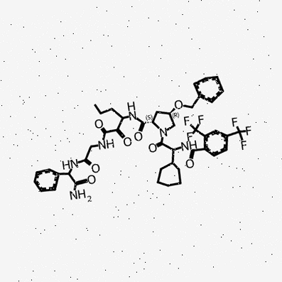 CCCC(NC(=O)[C@@H]1C[C@@H](OCc2ccccc2)CN1C(=O)C(NC(=O)c1ccc(C(F)(F)F)cc1C(F)(F)F)C1CCCCC1)C(=O)C(=O)NCC(=O)NC(C(N)=O)c1ccccc1